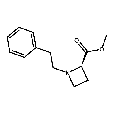 COC(=O)[C@H]1CCN1CCc1ccccc1